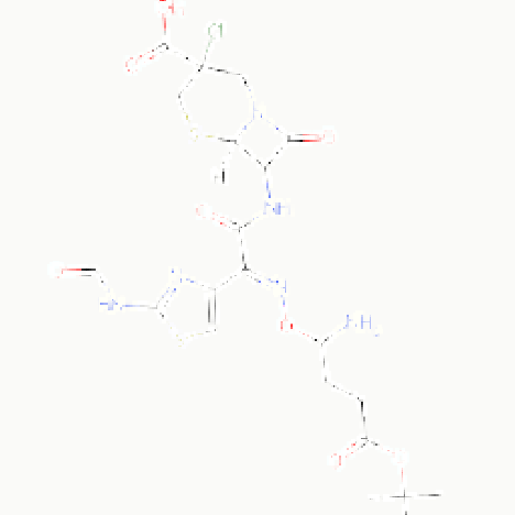 CC(C)(C)OC(=O)CCC(N)ON=C(C(=O)NC1C(=O)N2CC(Cl)(C(=O)O)CS[C@H]12)c1csc(NC=O)n1